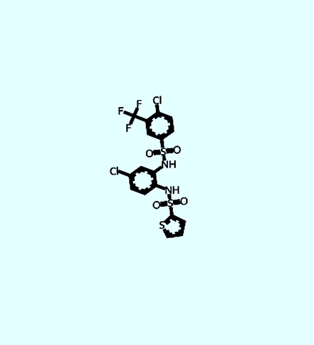 O=S(=O)(Nc1cc(Cl)ccc1NS(=O)(=O)c1cccs1)c1ccc(Cl)c(C(F)(F)F)c1